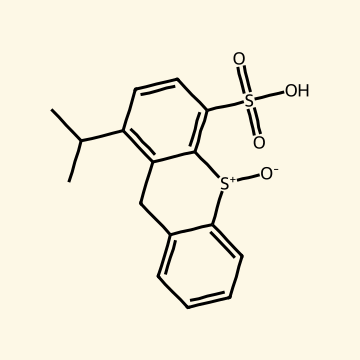 CC(C)c1ccc(S(=O)(=O)O)c2c1Cc1ccccc1[S+]2[O-]